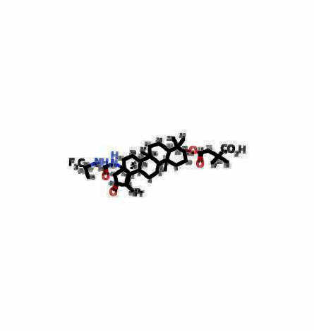 CC(C)C1=C2C3CCC4[C@@]5(C)CC[C@H](OC(=O)CC(C)(C)C(=O)O)C(C)(C)C5CC[C@@]4(C)[C@]3(C)CC[C@@]2(NC(=O)N[C@@H](C)C(F)(F)F)CC1=O